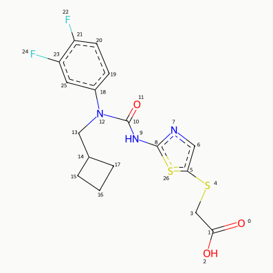 O=C(O)CSc1cnc(NC(=O)N(CC2CCC2)c2ccc(F)c(F)c2)s1